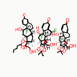 CC1(C)O[C@@H]2C[C@H]3[C@@H]4CCC5=CC(=O)C=C[C@]5(C)[C@H]4[C@@H](O)C[C@]3(C)[C@]2(C(=O)CO)O1.CC1(C)O[C@@H]2C[C@H]3[C@@H]4C[C@H](F)C5=CC(=O)C=C[C@]5(C)[C@@]4(F)[C@@H](O)C[C@]3(C)[C@]2(C(=O)CO)O1.CCCCC(=O)O[C@]1(C(=O)CO)[C@@H](C)C[C@H]2[C@@H]3CCC4=CC(=O)C=C[C@]4(C)[C@@]3(F)[C@@H](O)C[C@@]21C